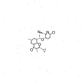 Cc1cc([C@@H](C)Oc2ccc(Cl)nc2C#N)c2oc(C3CC3)c(C)c(=O)c2c1